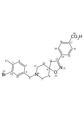 Cc1ccc(CN2CCC3(CC2)CC(c2ccc(C(=O)O)cc2)=NO3)cc1Br